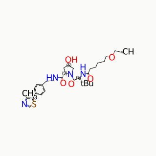 C#CCOCCCCCC(=O)N[C@H](C(=O)N1C[C@@H](O)C[C@H]1C(=O)NCCc1ccc(-c2scnc2C)cc1)C(C)(C)C